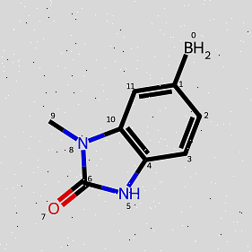 Bc1ccc2[nH]c(=O)n(C)c2c1